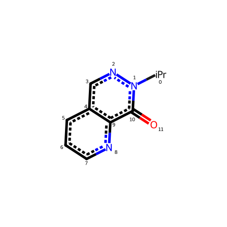 CC(C)n1ncc2cccnc2c1=O